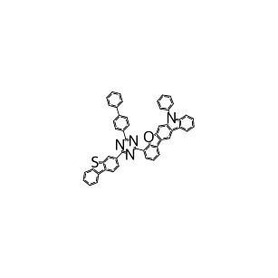 c1ccc(-c2ccc(-c3nc(-c4ccc5c(c4)sc4ccccc45)nc(-c4cccc5c4oc4cc6c(cc45)c4ccccc4n6-c4ccccc4)n3)cc2)cc1